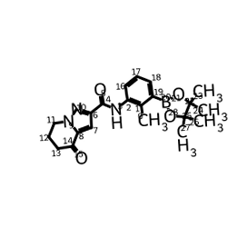 Cc1c(NC(=O)c2cc3n(n2)CCCC3=O)cccc1B1OC(C)(C)C(C)(C)O1